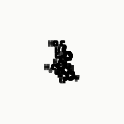 Cc1cn(C(=O)c2c(-c3c(Cl)cc(F)cc3Cl)noc2C(C)(C)F)c2cccc(/C=C/C(=O)O)c12